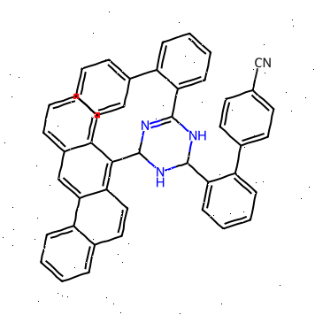 N#Cc1ccc(-c2ccccc2C2NC(c3ccccc3-c3ccccc3)=NC(c3c4ccccc4cc4c3ccc3ccccc34)N2)cc1